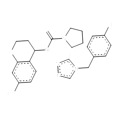 O=C(NC1CCOc2cc(C(F)(F)F)ccc21)N1CCC[C@@H]1c1nncn1Cc1ccc(Cl)cc1